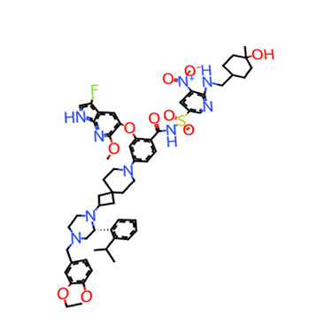 COc1nc2[nH]cc(F)c2cc1Oc1cc(N2CCC3(CC2)CC(N2CCN(Cc4ccc5c(c4)OCCO5)C[C@H]2c2ccccc2C(C)C)C3)ccc1C(=O)NS(=O)(=O)c1cnc(NCC2CCC(C)(O)CC2)c([N+](=O)[O-])c1